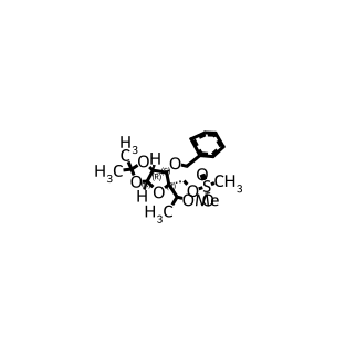 COC(C)[C@@]1(COS(C)(=O)=O)O[C@@H]2OC(C)(C)O[C@@H]2[C@@H]1OCc1ccccc1